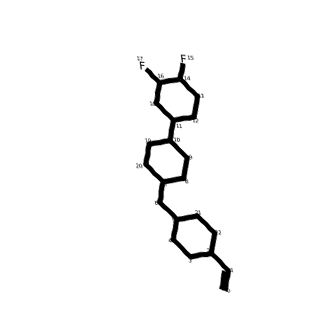 C=CC1CCC(CC2CCC(C3CCC(F)C(F)C3)CC2)CC1